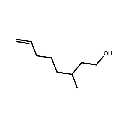 C=CCCCC(C)CCO